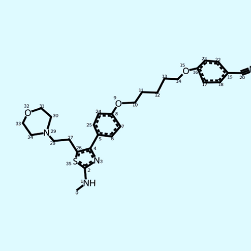 CNc1nc(-c2ccc(OCCCCCOc3ccc(C#N)cc3)cc2)c(CCN2CCOCC2)s1